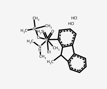 C[CH2][Ti]([CH3])(=[O])(=[SiH2])([O][Si](C)(C)C)([c]1cccc2c1C(C)c1ccccc1-2)[SiH](C)C.Cl.Cl